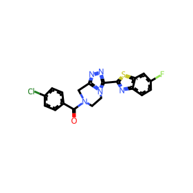 O=C(c1ccc(Cl)cc1)N1CCn2c(nnc2-c2nc3ccc(F)cc3s2)C1